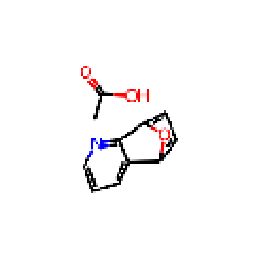 CC(=O)O.c1cnc2c3ccc(o3)c2c1